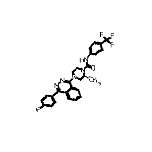 C[C@H]1CN(c2nnc(-c3ccc(F)cc3)c3ccccc23)CCN1C(=O)Nc1ccc(C(F)(F)F)cc1